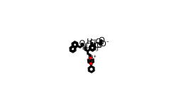 CN(CC(CC[N+]12CCC(C3CCCCC3)(CC1)CC2)c1ccc(Cl)c(Cl)c1)C(=O)Cc1cccc2ccccc12.CS(=O)(=O)[O-]